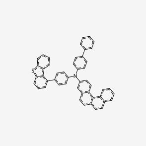 c1ccc(-c2ccc(N(c3ccc(-c4cccc5sc6ccccc6c45)cc3)c3ccc4c(ccc5ccc6ccccc6c54)c3)cc2)cc1